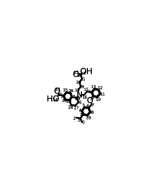 CC(C)c1ccc(COc2ccccc2CCN(CCCCC(=O)O)[C@H]2CCCc3cc(C(=O)O)ccc32)cc1